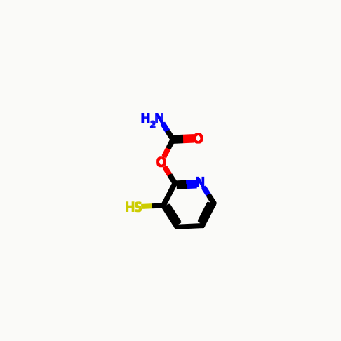 NC(=O)Oc1ncccc1S